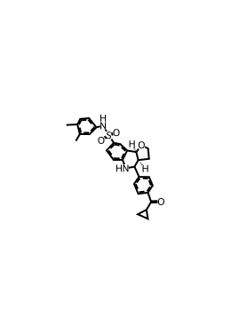 Cc1ccc(NS(=O)(=O)c2ccc3c(c2)[C@H]2OCC[C@H]2C(c2ccc(C(=O)C4CC4)cc2)N3)cc1C